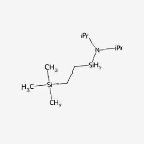 CC(C)N([SiH2]CC[Si](C)(C)C)C(C)C